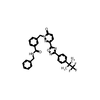 CC(C)(c1ccc(-c2noc(-c3ccc(=O)n(Cc4cccc(C(=O)NCc5ccccc5)c4)n3)n2)cc1)C(F)(F)F